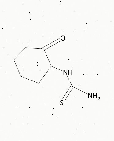 NC(=S)NC1CCCCC1=O